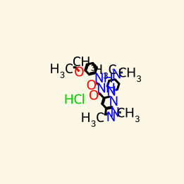 Cc1nn(C)c2nc(N3CCC(N(C)C)CC3)c(C(=O)NC(=O)Nc3cccc(OC(C)C)c3)cc12.Cl